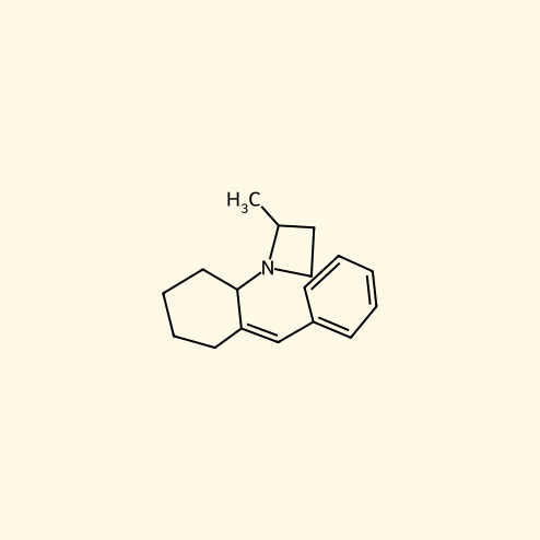 CC1CCN1C1CCCC/C1=C/c1ccccc1